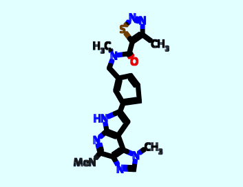 CNc1nc2[nH]c(-c3cccc(CN(C)C(=O)c4snnc4C)c3)cc2c2c1ncn2C